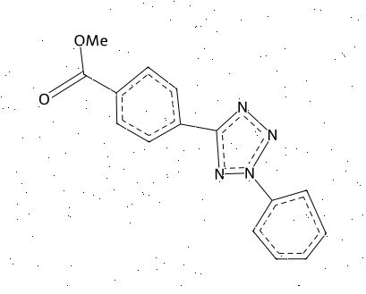 COC(=O)c1ccc(-c2nnn(-c3ccccc3)n2)cc1